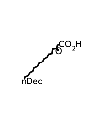 CCCCCCCCCCCCCCCCCCCCCCCC(=O)CC(=O)O